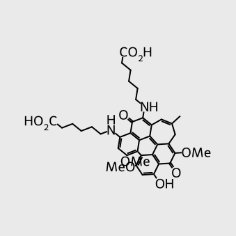 COc1c2c3c4c(c(NCCCCCC(=O)O)c(=O)c5c(NCCCCCC(=O)O)cc(OC)c(c6c(OC)cc(O)c(c1=O)c63)c54)C=C(C)C2